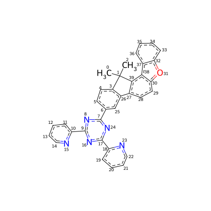 CC1(C)c2ccc(-c3nc(-c4ccccn4)nc(-c4ccccn4)n3)cc2-c2ccc3oc4ccccc4c3c21